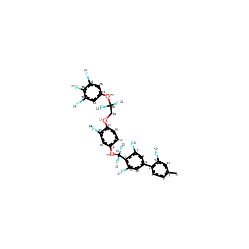 Cc1ccc(-c2cc(F)c(C(F)(F)Oc3ccc(OCC(F)(F)Oc4cc(F)c(F)c(F)c4)c(F)c3)c(F)c2)c(F)c1